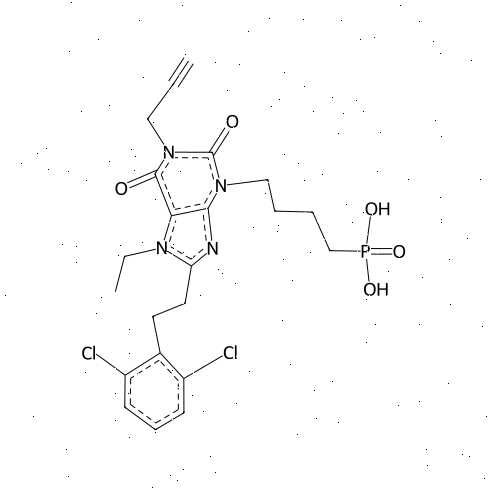 C#CCn1c(=O)c2c(nc(CCc3c(Cl)cccc3Cl)n2CC)n(CCCCP(=O)(O)O)c1=O